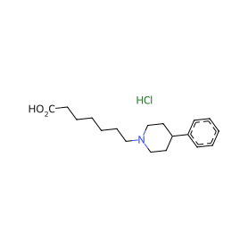 Cl.O=C(O)CCCCCCN1CCC(c2ccccc2)CC1